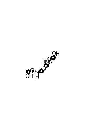 O=C(Nc1ccc(Cc2ccc(NCOOc3cccc(O)c3)cc2)cc1)Oc1cccc(O)c1